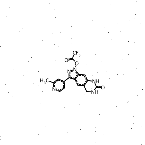 Cc1cc(-c2nn(OC(=O)C(F)(F)F)c3cc4c(cc23)CNC(=O)N4)ccn1